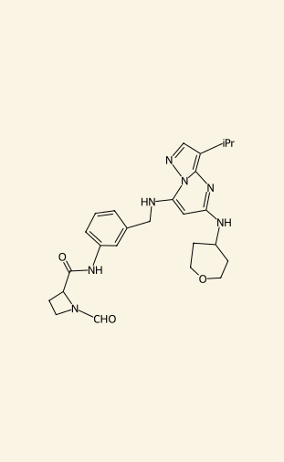 CC(C)c1cnn2c(NCc3cccc(NC(=O)C4CCN4C=O)c3)cc(NC3CCOCC3)nc12